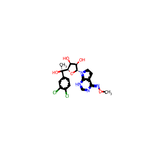 CON=c1nc[nH]c2c1ccn2[C@@H]1O[C@H]([C@](C)(O)c2ccc(Cl)c(Cl)c2)[C@@H](O)[C@H]1O